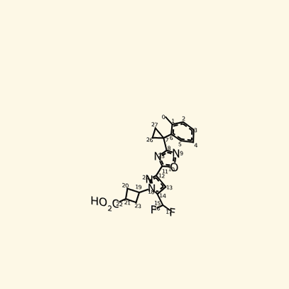 Cc1ccccc1C1(c2noc(-c3cc(C(F)F)n(C4CC(C(=O)O)C4)n3)n2)CC1